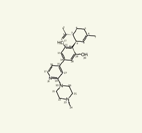 C=C(C)[C@@H]1CCC(C)=C[C@H]1c1c(O)cc(-c2ccnc(N3CCN(C)CC3)c2)cc1O